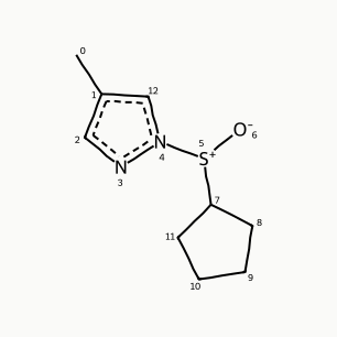 Cc1cnn([S+]([O-])C2CCCC2)c1